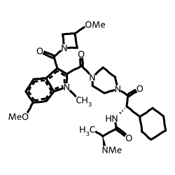 CN[C@@H](C)C(=O)N[C@H](C(=O)N1CCN(C(=O)c2c(C(=O)N3CC(OC)C3)c3ccc(OC)cc3n2C)CC1)C1CCCCC1